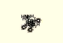 N=C(N)NCCCC(C(=O)O)(C(=O)OCc1ccccc1)N(C(=O)OCc1ccccc1)C(=O)OCc1ccccc1